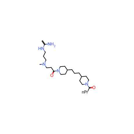 C=C(N)NCCCN(C)CCC(=O)N1CCC(CCCC2CCN(C(=O)CCC)CC2)CC1